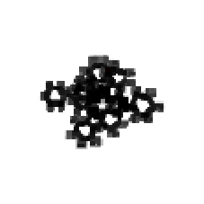 C1=C(c2ccccc2)C=C(c2ccccc2)NC1n1c2ccccc2c2ccc3c(c4c(c5ccccc5n4-c4ccccc4)n3-c3ccccc3)c21